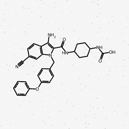 N#Cc1ccc2c(N)c(C(=O)NC3CCC(NC(=O)O)CC3)n(Cc3ccc(Oc4ccccc4)cc3)c2c1